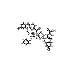 CCSc1cc(F)ccc1CN1CCN(C(=O)C(NC(=O)OCc2ccccc2)C2CCN(CCc3cc(Cl)ccc3C3=CCN(C(=O)O)CC3)CC2)CC1